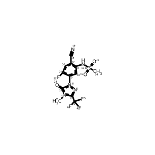 Cn1c(C(F)(F)F)nn(-c2cc(NS(C)(=O)=O)c(C#N)cc2F)c1=O